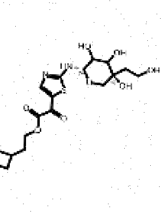 O=C(OCCC1CCC1)C(=O)c1cnc(N[C@H]2OC[C@@](O)(CCO)C(O)C2O)s1